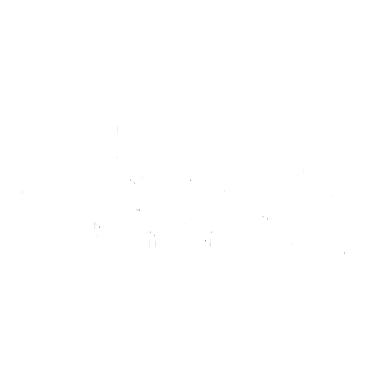 C#CCOc1ccc(C)cc1S(=O)(=O)NC(=O)Nc1nc(Cl)cc(OC)n1